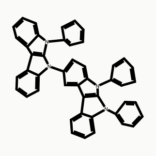 c1ccc(-n2c3ccccc3c3c4ccccc4n(-c4ccc5c(c4)c4c6ccccc6n(-c6ccccc6)c4n5-c4ccccc4)c32)cc1